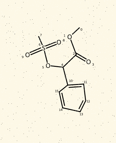 COC(=O)C(OS(C)(=O)=O)c1ccccc1